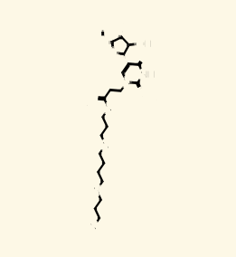 C=C(CCN1C=C([C@@H]2O[C@H](CO)[C@H](O)C2O)C(=O)NC1=C)NCCCNCCCCNCCCN